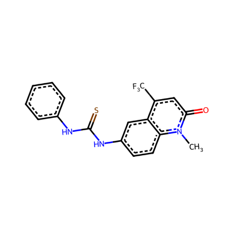 Cn1c(=O)cc(C(F)(F)F)c2cc(NC(=S)Nc3ccccc3)ccc21